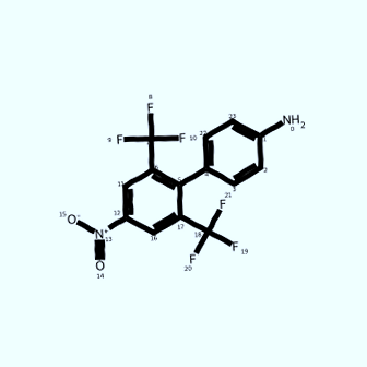 Nc1ccc(-c2c(C(F)(F)F)cc([N+](=O)[O-])cc2C(F)(F)F)cc1